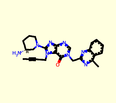 CC#CCn1c(N2CCC[C@@H](N)C2)nc2ncn(Cc3nc(C)c4ccccc4n3)c(=O)c21